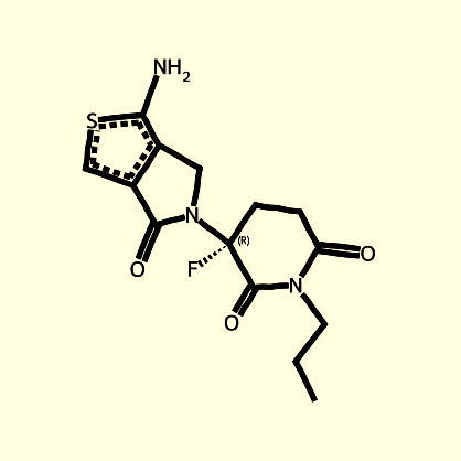 CCCN1C(=O)CC[C@](F)(N2Cc3c(csc3N)C2=O)C1=O